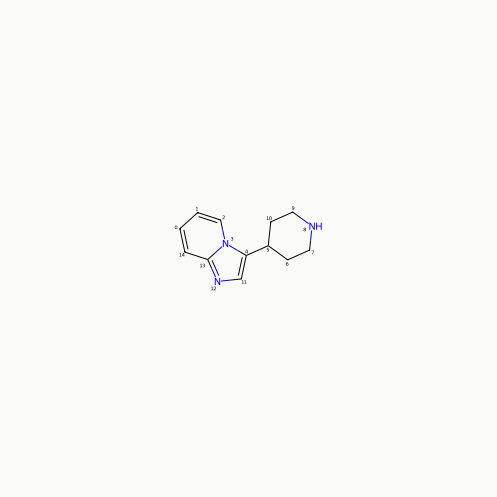 c1ccn2c(C3CCNCC3)cnc2c1